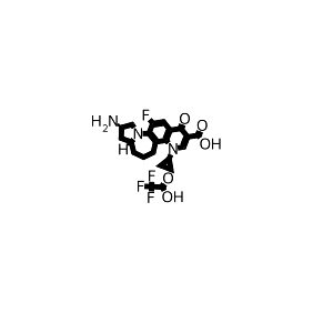 N[C@@H]1C[C@H]2CCCc3c(c(F)cc4c(=O)c(C(=O)O)cn(C5CC5)c34)N2C1.O=C(O)C(F)(F)F